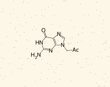 CC(=O)Cn1cnc2c(=O)[nH]c(N)nc21